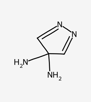 NC1(N)C=NN=C1